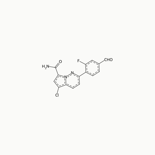 NC(=O)c1cc(Cl)c2ccc(-c3ccc(C=O)cc3F)nn12